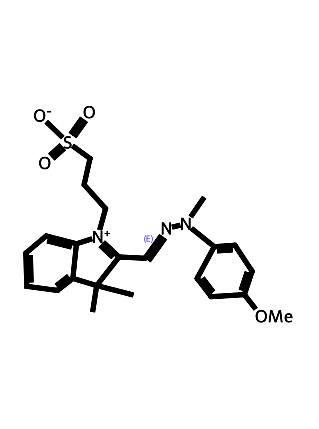 COc1ccc(N(C)/N=C/C2=[N+](CCCS(=O)(=O)[O-])c3ccccc3C2(C)C)cc1